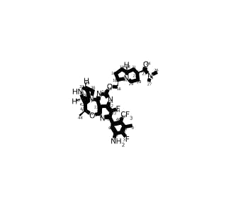 Cc1c(F)c(N)cc(-c2nc3c4c(nc(OC[C@@H]5CC[C@H]6C[C@@H](C(=O)N(C)C)CCN56)nc4c2F)N2C[C@H]4CC5[C@H](N4)C52[C@H](C)O3)c1C(F)(F)F